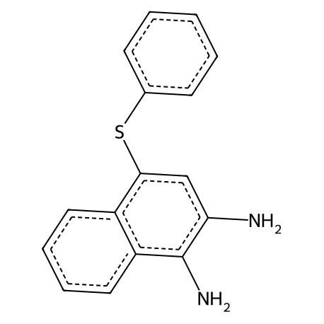 Nc1cc(Sc2ccccc2)c2ccccc2c1N